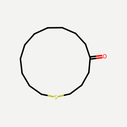 O=C1CCCCCCCCCCSCCC1